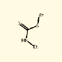 CCNC(=S)SC(C)C